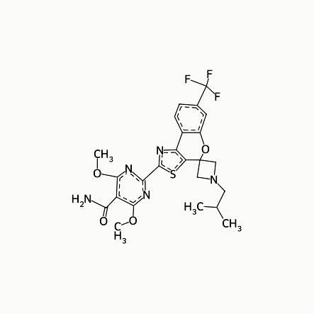 COc1nc(-c2nc3c(s2)C2(CN(CC(C)C)C2)Oc2cc(C(F)(F)F)ccc2-3)nc(OC)c1C(N)=O